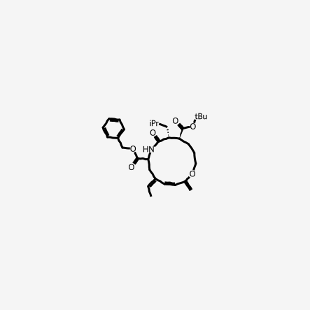 C=C1/C=C\C(=C/C)CC(C(=O)OCc2ccccc2)NC(=O)[C@H](CC(C)C)[C@@H](C(=O)OC(C)(C)C)CCCO1